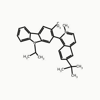 Cc1cc2c3ccccc3n(C(C)C)c2cc1-c1c2ccc(C(C)(C)C)cc2cc[n+]1C